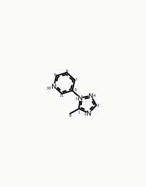 Cc1ncnn1-c1cccnc1